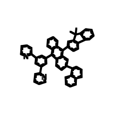 CC1(C)c2ccccc2-c2ccc(-c3c4ccccc4c(-c4cc(-c5ccccn5)cc(-c5ccccn5)c4)c4ccc(-c5cccc6ccccc56)cc34)cc21